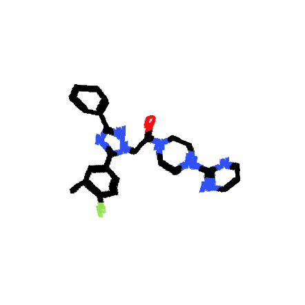 Cc1cc(-c2nc(-c3ccccc3)nn2CC(=O)N2CCN(c3ncccn3)CC2)ccc1F